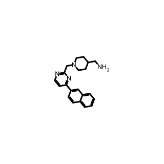 NCC1CCN(Cc2nccc(-c3ccc4ccccc4c3)n2)CC1